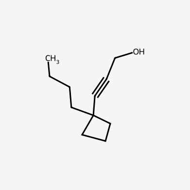 CCCCC1(C#CCO)CCC1